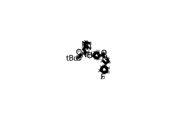 CC(C)(C)OC(=O)N[C@@H](COc1ccc(C(=O)N2CC[C@H](c3ccc(F)cc3)C2)cc1)Cn1nccn1